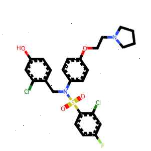 O=S(=O)(c1ccc(F)cc1Cl)N(Cc1ccc(O)cc1Cl)c1ccc(OCCN2CCCC2)cc1